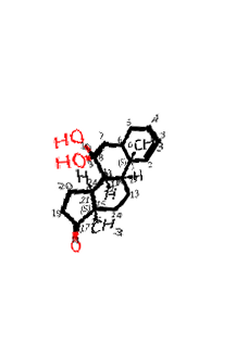 C[C@]12C=CCCC1CC(O)(O)[C@@H]1[C@H]2CC[C@]2(C)C(=O)CC[C@@H]12